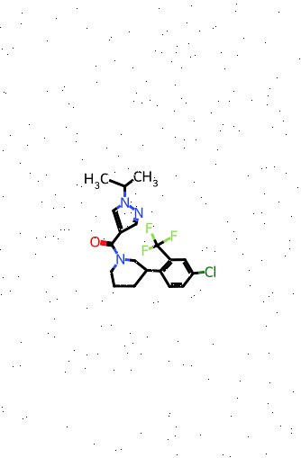 CC(C)n1cc(C(=O)N2CCCC(c3ccc(Cl)cc3C(F)(F)F)C2)cn1